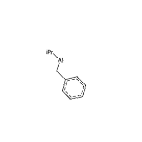 C[CH](C)[Al][CH2]c1ccccc1